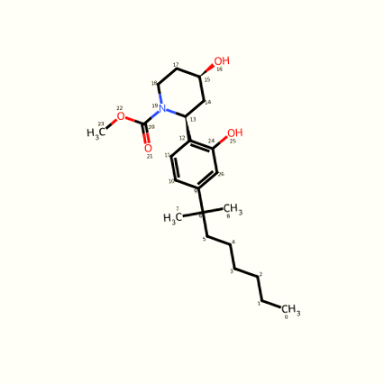 CCCCCCC(C)(C)c1ccc([C@@H]2C[C@H](O)CCN2C(=O)OC)c(O)c1